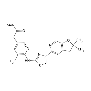 CNC(=O)Cc1cnc(Nc2nc(-c3cc4c(cn3)OC(C)(C)C4)cs2)c(C(F)(F)F)c1